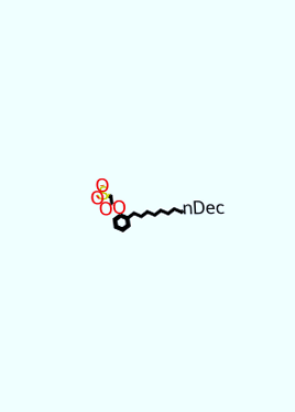 CCCCCCCCCCCCCCCCCCc1ccccc1OC(=O)C=S(=O)=O